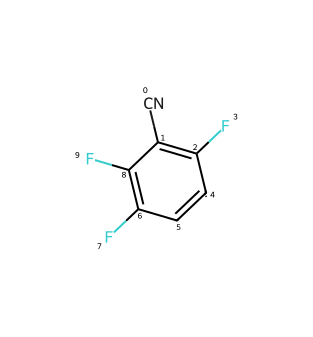 N#Cc1c(F)[c]cc(F)c1F